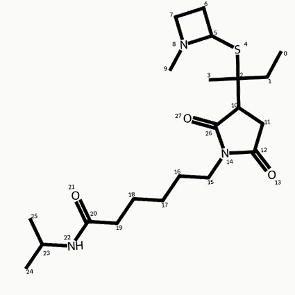 CCC(C)(SC1CCN1C)C1CC(=O)N(CCCCCC(=O)NC(C)C)C1=O